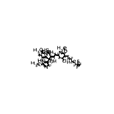 C#C/C(=C\C=C1/CC(Cl)=C(CNCCOCC(F)(F)F)C(OC)=N1)C(O)(c1cnc(C)[nH]1)c1cnc(C)n1C